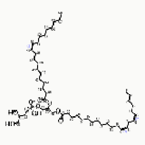 CCCCC/C=C\C/C=C\CCCCCCCCCCCC(=O)OC[C@H](COP(=O)(O)OC[C@@H](O)CO)OC(=O)CCCCCCCCC/C=C\CCCCCCCC